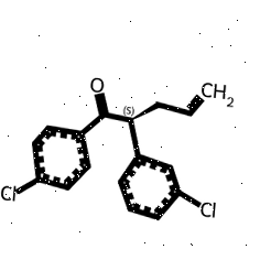 C=CC[C@H](C(=O)c1ccc(Cl)cc1)c1cccc(Cl)c1